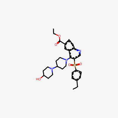 CCOC(=O)c1ccc2ncc(S(=O)(=O)c3ccc(CC)cc3)c(N3CCC(N4CCC(O)CC4)CC3)c2c1